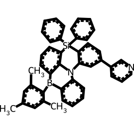 Cc1cc(C)c(B2c3ccccc3N3c4cc(-c5cccnc5)ccc4[Si](c4ccccc4)(c4ccccc4)c4cccc2c43)c(C)c1